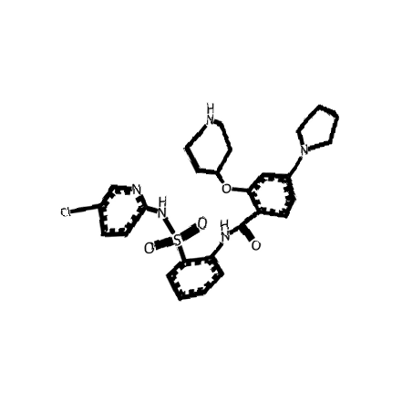 O=C(Nc1ccccc1S(=O)(=O)Nc1ccc(Cl)cn1)c1ccc(N2CCCC2)cc1OC1CCNCC1